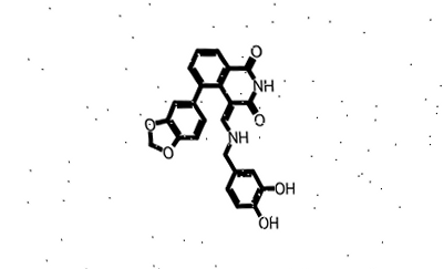 O=C1NC(=O)c2cccc(-c3ccc4c(c3)OCO4)c2C1=CNCc1ccc(O)c(O)c1